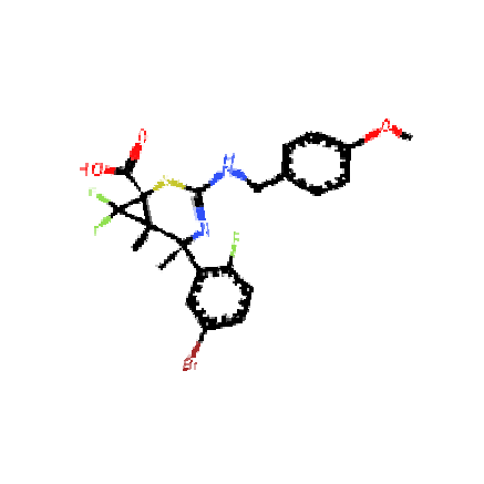 COc1ccc(CNC2=N[C@](C)(c3cc(Br)ccc3F)C3(C)C(F)(F)[C@]3(C(=O)O)S2)cc1